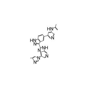 C=C(C)Nc1cncc(-c2ccc3[nH]nc(-c4nc5c(-n6cnc(C)c6)cncc5[nH]4)c3c2)c1